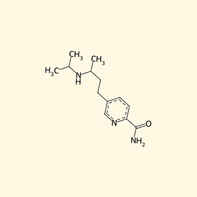 CC(C)NC(C)CCc1ccc(C(N)=O)nc1